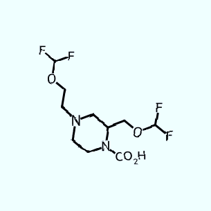 O=C(O)N1CCN(CCOC(F)F)CC1COC(F)F